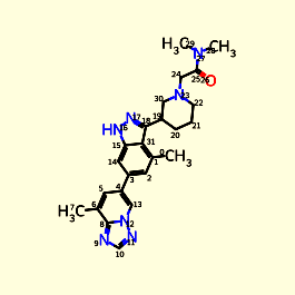 Cc1cc(-c2cc(C)c3ncnn3c2)cc2[nH]nc(C3CCCN(CC(=O)N(C)C)C3)c12